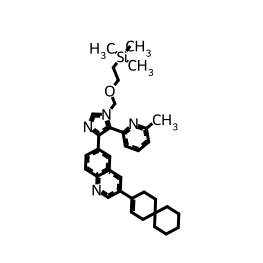 Cc1cccc(-c2c(-c3ccc4ncc(C5=CCC6(CCCCC6)CC5)cc4c3)ncn2COCC[Si](C)(C)C)n1